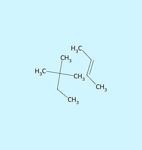 CC=CC.CCC(C)(C)C